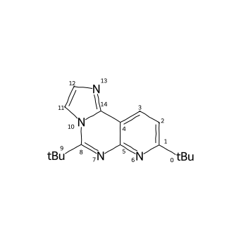 CC(C)(C)c1ccc2c(n1)nc(C(C)(C)C)n1ccnc21